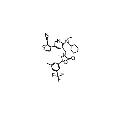 CCN(c1ncc(-c2ccsc2C#N)cc1CN1C(=O)OC(c2cc(C)cc(C(F)(F)F)c2)[C@@H]1C)C1CCCCC1